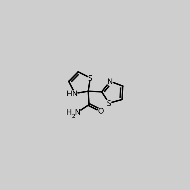 NC(=O)C1(c2nccs2)NC=CS1